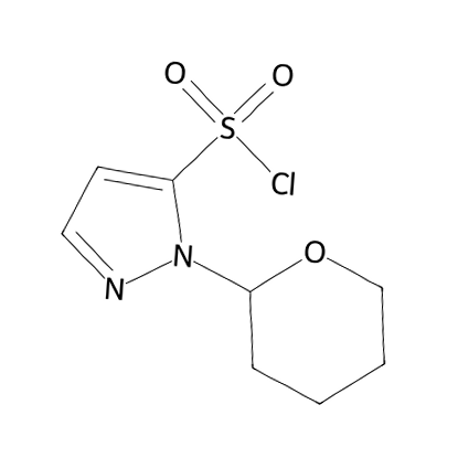 O=S(=O)(Cl)c1ccnn1C1CCCCO1